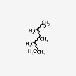 CC(=O)CCC=C(C)CCC=C(C)CCC=C(C)CCCC(C)C